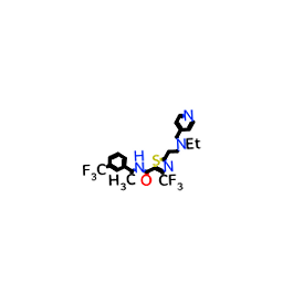 CCN(CCc1nc(C(F)(F)F)c(C(=O)NC(C)c2cccc(C(F)(F)F)c2)s1)Cc1ccncc1